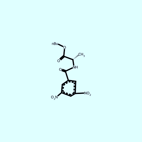 CCCCOC(=O)[C@H](C)NC(=O)c1cc([N+](=O)[O-])cc([N+](=O)[O-])c1